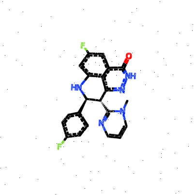 CN1C=C=CN=C1[C@H]1c2n[nH]c(=O)c3cc(F)cc(c23)N[C@@H]1c1ccc(F)cc1